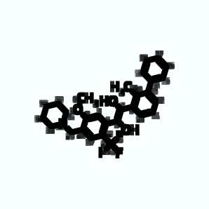 COc1cc(/C(O)=C(\O)c2cccc(-c3ccccc3)c2C)c(C(F)(F)F)cc1CN1CCCCC1